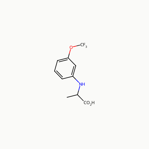 CC(Nc1cccc(OC(F)(F)F)c1)C(=O)O